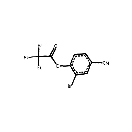 CCC(CC)(CC)C(=O)Oc1ccc(C#N)cc1Br